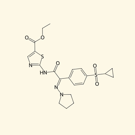 CCOC(=O)c1cnc(NC(=O)/C(=N/N2CCCC2)c2ccc(S(=O)(=O)C3CC3)cc2)s1